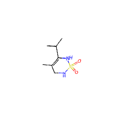 CC1=C(C(C)C)NS(=O)(=O)NC1